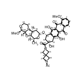 COc1cccc2c1C(=O)c1c(O)c3c(c(O)c1C2=O)C[C@@](O)(C(=O)N1CC2(CN(C(C)=O)C2)C1)C[C@@H]3O[C@H]1C[C@H]2[C@H](O[C@@H]3[C@@H](OC)OCCN32)[C@H](C)O1